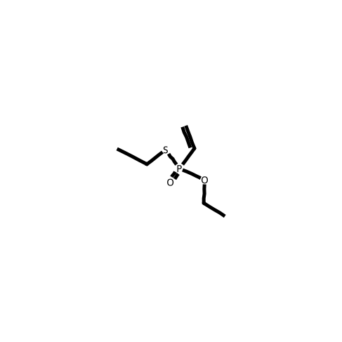 C=CP(=O)(OCC)SCC